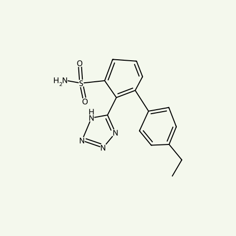 CCc1ccc(-c2cccc(S(N)(=O)=O)c2-c2nnn[nH]2)cc1